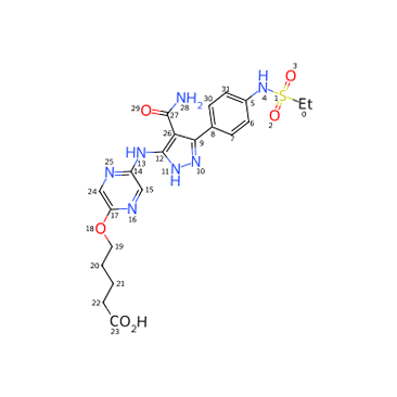 CCS(=O)(=O)Nc1ccc(-c2n[nH]c(Nc3cnc(OCCCCC(=O)O)cn3)c2C(N)=O)cc1